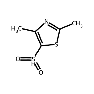 Cc1nc(C)c([SH](=O)=O)s1